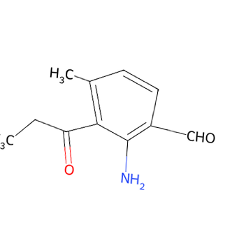 Cc1ccc(C=O)c(N)c1C(=O)CC(F)(F)F